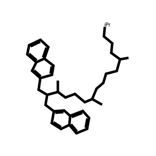 CC(C)CCCC(C)CCCCC(C)CCCC(C)C(Cc1ccc2ccccc2c1)Cc1ccc2ccccc2c1